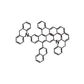 c1ccc2c(c1)Cc1ccccc1N2c1ccc2c(-c3ccccc3-c3ccc4ccccc4c3)c3cc(N4c5ccccc5Cc5ccccc54)ccc3c(-c3ccc4ccccc4c3)c2c1